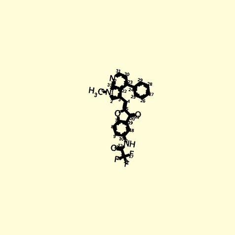 Cn1cc(C=C2Oc3ccc(NC(=O)C(F)(F)F)cc3C2=O)c2c(-c3ccccc3)ccnc21